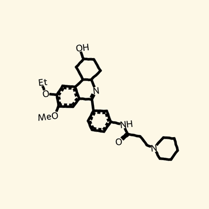 CCOc1cc2c(cc1OC)C(c1cccc(NC(=O)CCN3CCCCC3)c1)=NC1CCC(O)CC21